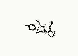 C=CCC1OCCC[C@H]1[C@H](NS(=O)(=O)c1ccc(C)cc1)C(=O)OCC